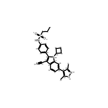 CCCS(=O)(=O)Nc1ccc(-c2c(C#N)c3ccc(-c4c(C)noc4C)cc3n2C2CCC2)cc1